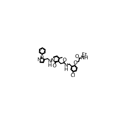 CCNC(=O)COc1ccc(Cl)cc1CNC(=O)Cc1c(C)ccn(NCc2ccnn2-c2ccccc2)c1=O